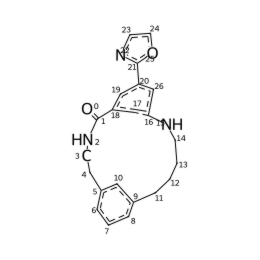 O=C1NCCc2cccc(c2)CCCCNc2cc1cc(-c1ncco1)c2